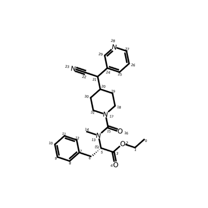 CCOC(=O)[C@H](Cc1ccccc1)N(C)C(=O)N1CCC(C(C#N)c2cccnc2)CC1